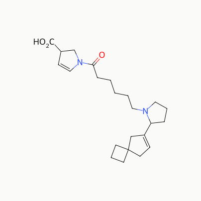 O=C(O)C1C=CN(C(=O)CCCCCN2CCCC2C2=CCC3(CCC3)C2)C1